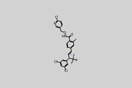 Cc1cc(/C=C/C(c2cc(Cl)cc(Cl)c2)C(F)(F)F)ccc1C(=O)NOCc1ccc(Cl)nc1